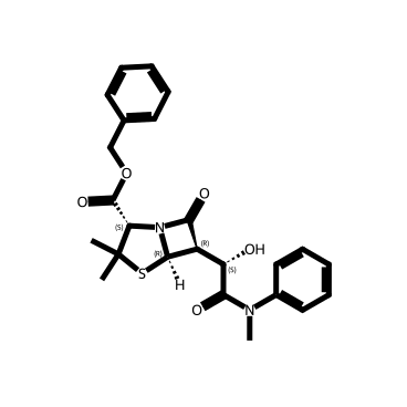 CN(C(=O)[C@@H](O)[C@@H]1C(=O)N2[C@@H]1SC(C)(C)[C@@H]2C(=O)OCc1ccccc1)c1ccccc1